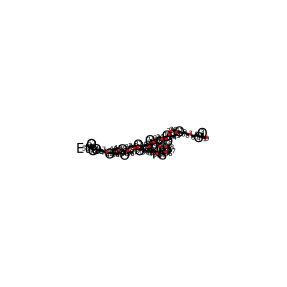 C=CC(=O)OCCCCCCOc1ccc(OC(=O)C2CCC(C(=O)Oc3ccc(OC(=O)C4CCC(C(=O)Oc5ccc(OCCCCOOC(=O)CC)cc5)CC4)cc3/C=N/N=c3/sc4ccccc4n3C)CC2)cc1